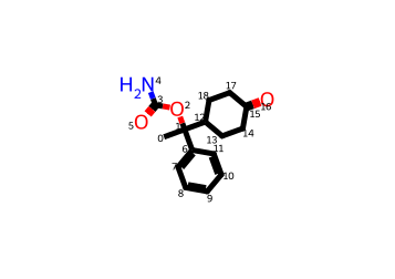 CC(OC(N)=O)(c1ccccc1)C1CCC(=O)CC1